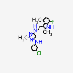 Cc1nc(NCCc2c(C)[nH]c3c(F)ccc(C)c23)cc(Nc2cccc(Cl)c2)n1